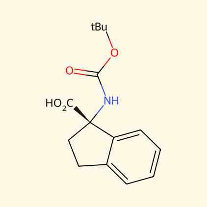 CC(C)(C)OC(=O)N[C@@]1(C(=O)O)CCc2ccccc21